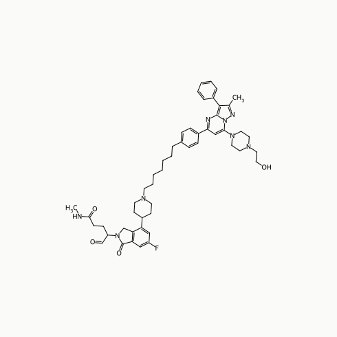 CNC(=O)CCC(C=O)N1Cc2c(cc(F)cc2C2CCN(CCCCCCCc3ccc(-c4cc(N5CCN(CCO)CC5)n5nc(C)c(-c6ccccc6)c5n4)cc3)CC2)C1=O